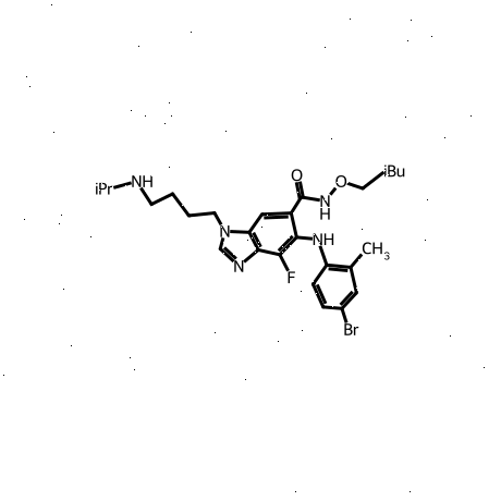 CCC(C)CONC(=O)c1cc2c(ncn2CCCCNC(C)C)c(F)c1Nc1ccc(Br)cc1C